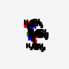 CC(C)(C)OC(=O)NC(Cc1ccc(Oc2ccnc3c2c(CO[Si](C)(C)C(C)(C)C)cn3COCC[Si](C)(C)C)c(F)c1)C(=O)O